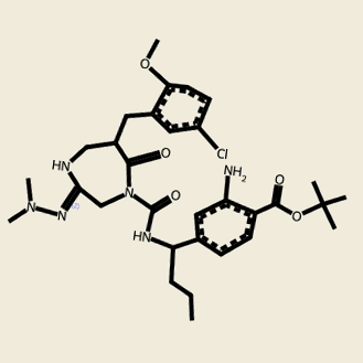 CCCC(NC(=O)N1C/C(=N/N(C)C)NCC(Cc2cc(Cl)ccc2OC)C1=O)c1ccc(C(=O)OC(C)(C)C)c(N)c1